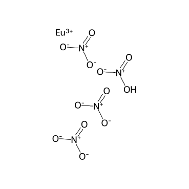 O=[N+]([O-])O.O=[N+]([O-])[O-].O=[N+]([O-])[O-].O=[N+]([O-])[O-].[Eu+3]